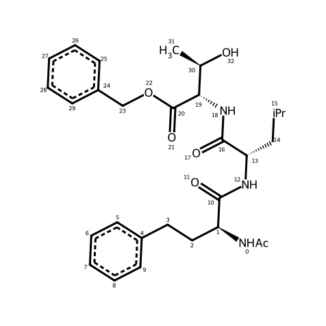 CC(=O)N[C@@H](CCc1ccccc1)C(=O)N[C@@H](CC(C)C)C(=O)N[C@H](C(=O)OCc1ccccc1)[C@@H](C)O